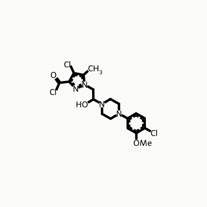 COc1cc(N2CCN(C(O)Cn3nc(C(=O)Cl)c(Cl)c3C)CC2)ccc1Cl